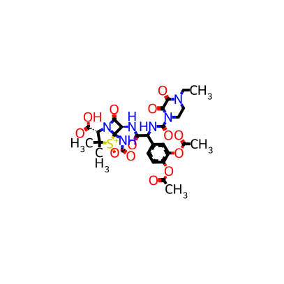 CCN1CCN(C(=O)NC(C(=O)N[C@@H]2C(=O)N3[C@@H](C(=O)O)C(C)(C)[S+]([O-])C23NC=O)c2ccc(OC(C)=O)c(OC(C)=O)c2)C(=O)C1=O